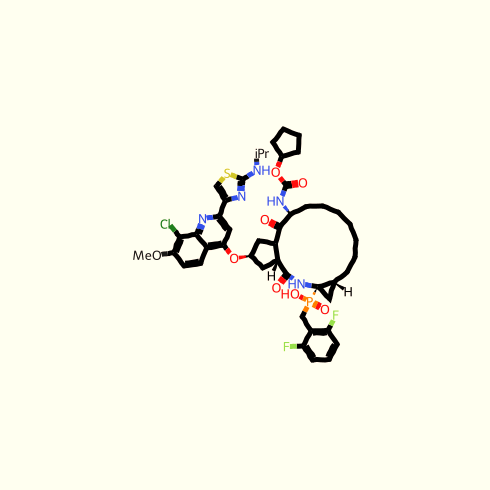 COc1ccc2c(O[C@H]3CC4C(=O)[C@@H](NC(=O)OC5CCCC5)CCCCCCC[C@@H]5C[C@@]5(P(=O)(O)Cc5c(F)cccc5F)NC(=O)[C@@H]4C3)cc(-c3csc(NC(C)C)n3)nc2c1Cl